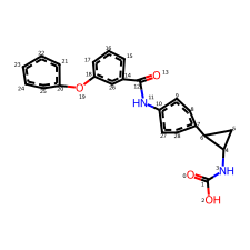 O=C(O)NC1CC1c1ccc(NC(=O)c2cccc(Oc3ccccc3)c2)cc1